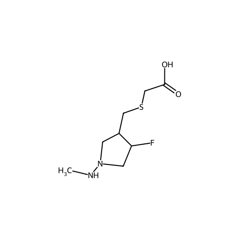 CNN1CC(F)C(CSCC(=O)O)C1